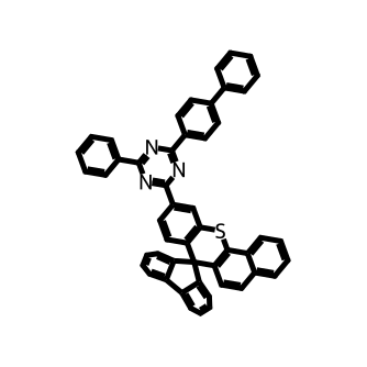 c1ccc(-c2ccc(-c3nc(-c4ccccc4)nc(-c4ccc5c(c4)Sc4c(ccc6ccccc46)C54c5ccccc5-c5ccccc54)n3)cc2)cc1